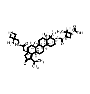 CC(C)C1=C2[C@H]3CC[C@@H]4[C@@]5(C)CC[C@H](OC(=O)[C@H]6C[C@@H](C(=O)O)C6(C)C)C(C)(C)[C@@H]5CC[C@@]4(C)[C@]3(C)CC[C@@]2(CC(=O)NCC2(N)CNC2)CC1=O